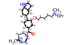 CCCN(C)CCCCCOc1cc(C(=O)N2C=CN[C@@H](C)CC2)ccc1-c1ccc2[nH]ccc2c1